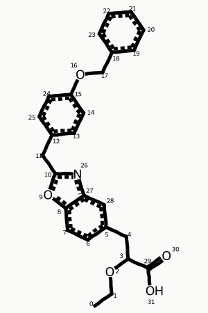 CCOC(Cc1ccc2oc(Cc3ccc(OCc4ccccc4)cc3)nc2c1)C(=O)O